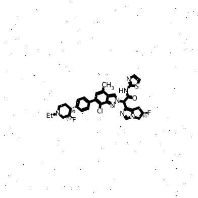 CCN1CC[C@H](c2ccc(-c3cc(C)c4cn(C(C(=O)Nc5nccs5)c5ncn6c5C[C@@H](F)C6)nc4c3Cl)cc2)[C@@H](F)C1